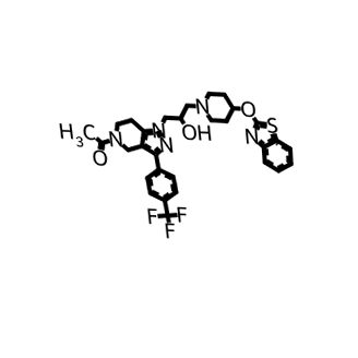 CC(=O)N1CCc2c(c(-c3ccc(C(F)(F)F)cc3)nn2CC(O)CN2CCC(Oc3nc4ccccc4s3)CC2)C1